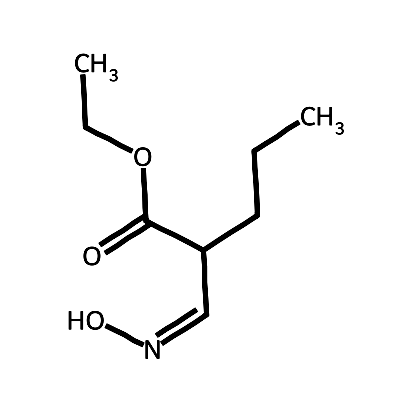 CCCC(/C=N\O)C(=O)OCC